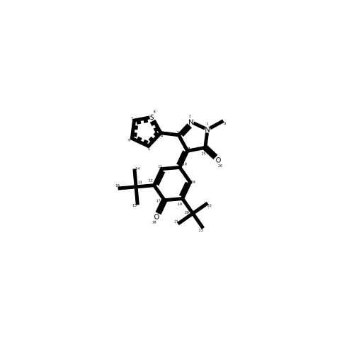 CN1N=C(c2cccs2)C(=C2C=C(C(C)(C)C)C(=O)C(C(C)(C)C)=C2)C1=O